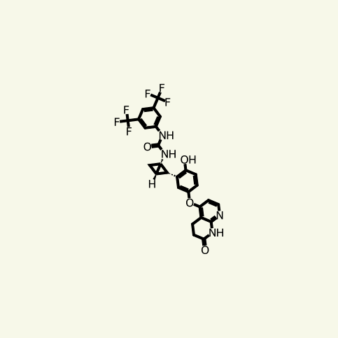 O=C1CCc2c(Oc3ccc(O)c([C@@H]4[C@@H]5C[C@@]45NC(=O)Nc4cc(C(F)(F)F)cc(C(F)(F)F)c4)c3)ccnc2N1